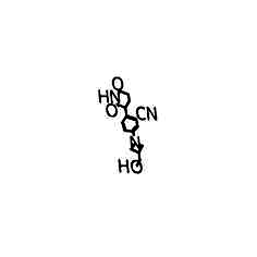 N#Cc1cc(N2CC(CO)C2)ccc1C1CCC(=O)NC1=O